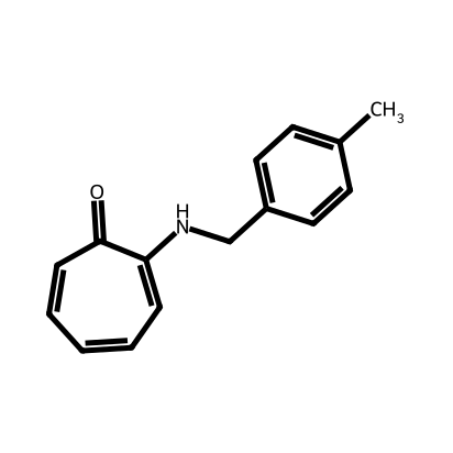 Cc1ccc(CNc2cccccc2=O)cc1